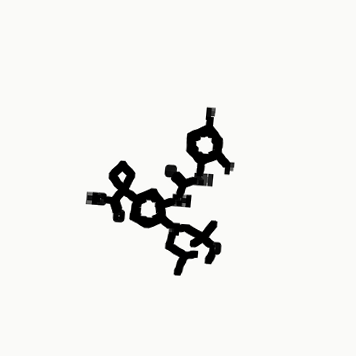 COC(C)(C)CN(CC(C)C)c1ccc(C2(C(=O)O)CCC2)cc1NC(=O)Nc1ccc(F)cc1F